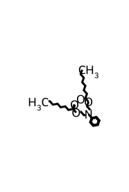 CCCCCCCC(=O)OCCN(CCOC(=O)CCCCCCC)c1ccccc1